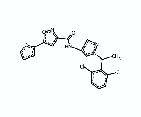 CC(c1c(Cl)cccc1Cl)n1cc(NC(=O)c2cc(-c3ccco3)on2)cn1